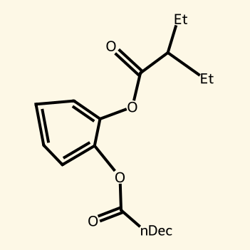 CCCCCCCCCCC(=O)Oc1ccccc1OC(=O)C(CC)CC